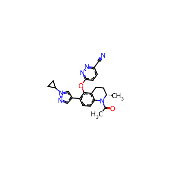 CC(=O)N1c2ccc(-c3cnn(C4CC4)c3)c(Oc3ccc(C#N)nn3)c2CC[C@@H]1C